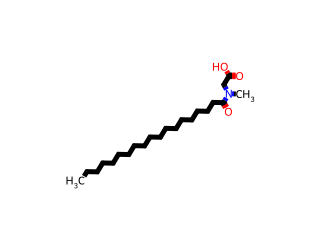 CCCCCCCCCCCCCCCCCCC(=O)N(C)CC(=O)O